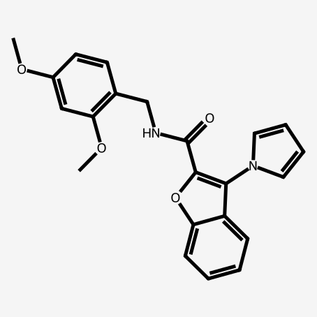 COc1ccc(CNC(=O)c2oc3ccccc3c2-n2cccc2)c(OC)c1